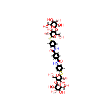 O=C(Nc1ccc(S[C@@H]2O[C@H](CO)[C@@H](O[C@@H]3O[C@H](CO)[C@@H](O)[C@H](O)[C@H]3O)[C@H](O)[C@H]2O)cc1)c1ccc(C(=O)Nc2ccc(S[C@@H]3O[C@H](CO)[C@@H](O[C@@H]4O[C@H](CO)[C@@H](O)[C@H](O)[C@H]4O)[C@H](O)[C@H]3O)cc2)cc1